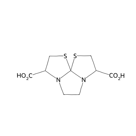 O=C(O)C1CSC23SCC(C(=O)O)N2CCN13